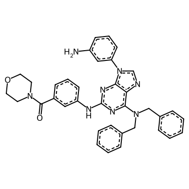 Nc1cccc(-n2cnc3c(N(Cc4ccccc4)Cc4ccccc4)nc(Nc4cccc(C(=O)N5CCOCC5)c4)nc32)c1